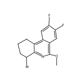 COc1nc2c(c3cc(F)c(F)cc13)[CH]CCC2Br